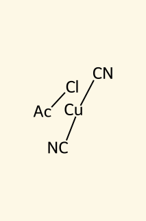 CC(=O)Cl.N#[C][Cu][C]#N